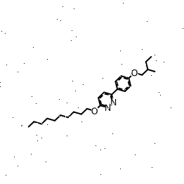 CCCCCCCCCCOc1ccc(-c2ccc(OCC(C)CC)cc2)nn1